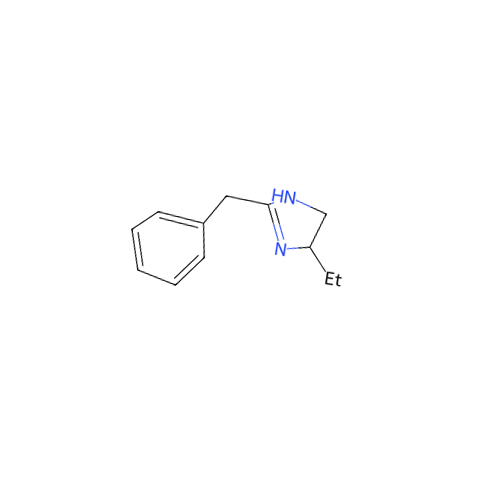 CCC1CNC(Cc2ccccc2)=N1